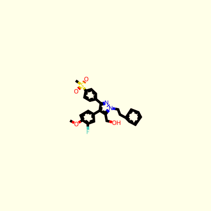 COc1ccc(-c2c(-c3ccc(S(C)(=O)=O)cc3)nn(CCc3ccccc3)c2CO)cc1F